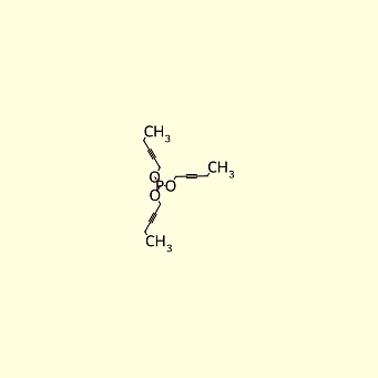 CCC#CCOP(OCC#CCC)OCC#CCC